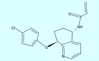 C=CC(=O)N[C@H]1CC[C@H](Oc2ccc(Cl)cc2)c2ncccc21